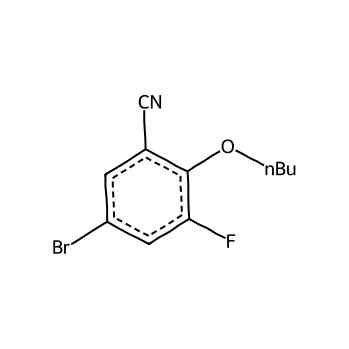 CCCCOc1c(F)cc(Br)cc1C#N